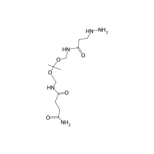 CC(C)(OCNC(=O)CCNN)OCNC(=O)CCC(N)=O